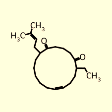 CCC1CCC=CCCCCCC(CC=C(C)C)C(=O)CCCC1=O